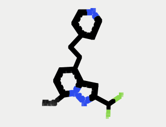 COc1ccc(CCc2ccncc2)c2cc(C(F)F)nn12